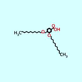 CCCCCCCCCCCOCc1ccc(C(=O)O)cc1OCCCCCCCCCCC